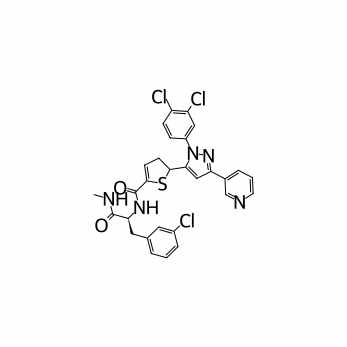 CNC(=O)[C@H](Cc1cccc(Cl)c1)NC(=O)C1=CCC(c2cc(-c3cccnc3)nn2-c2ccc(Cl)c(Cl)c2)S1